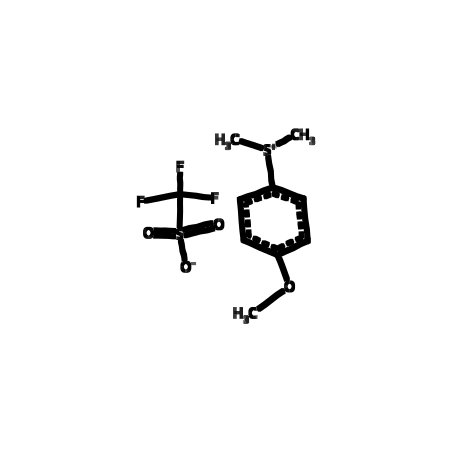 COc1ccc([S+](C)C)cc1.O=S(=O)([O-])C(F)(F)F